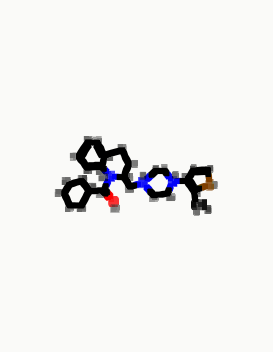 Cc1sccc1N1CCN(CC2CCc3ccccc3N2C(=O)C2CCCCC2)CC1